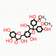 COc1cc(C2(c3ccc(O)c(OC)c3)Oc3c(O)cc(C4Oc5cc(O)cc(O)c5C(=O)C4O)cc3C2CO)ccc1O